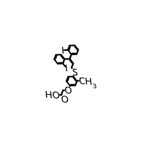 Cc1cc(OCC(=O)O)ccc1SCC=C(c1ccccc1I)c1ccccc1I